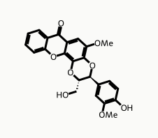 COc1cc([C@@H]2Oc3c(OC)cc4c(=O)c5ccccc5oc4c3O[C@H]2CO)ccc1O